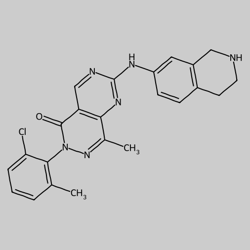 Cc1cccc(Cl)c1-n1nc(C)c2nc(Nc3ccc4c(c3)CNCC4)ncc2c1=O